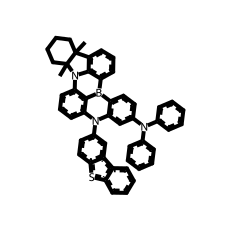 CC12CCCCC1(C)N1c3cccc4c3B(c3ccc(N(c5ccccc5)c5ccccc5)cc3N4c3ccc4sc5ccccc5c4c3)c3cccc2c31